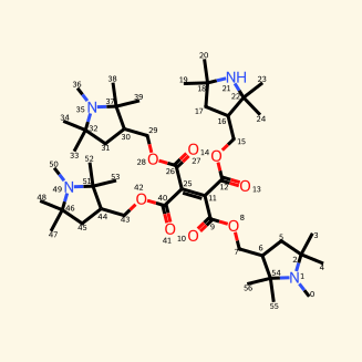 CN1C(C)(C)CC(COC(=O)C(C(=O)OCC2CC(C)(C)NC2(C)C)=C(C(=O)OCC2CC(C)(C)N(C)C2(C)C)C(=O)OCC2CC(C)(C)N(C)C2(C)C)C1(C)C